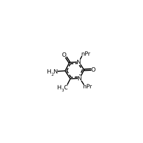 CCCn1c(C)c(N)c(=O)n(CCC)c1=O